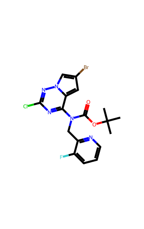 CC(C)(C)OC(=O)N(Cc1ncccc1F)c1nc(Cl)nn2cc(Br)cc12